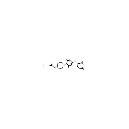 COC(=O)CC1CCN(c2c(F)cc(NC3CCC(=O)NC3=O)cc2F)CC1